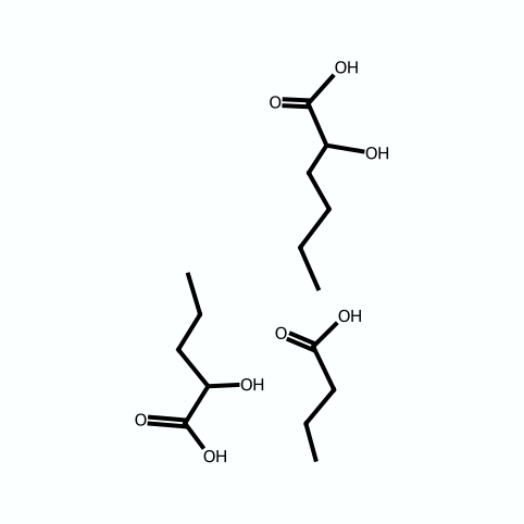 CCCC(=O)O.CCCC(O)C(=O)O.CCCCC(O)C(=O)O